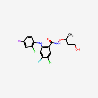 CC(CCO)ONC(=O)c1cc(Cl)c(F)cc1Nc1ccc(I)cc1Cl